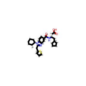 C[C@@H]1CCCC[C@H]1n1c(Cc2cccs2)nc2cc(C(=O)N[C@H](CC(=O)O)CC3CCCC3)ccc21